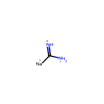 N=[C](N)[Na]